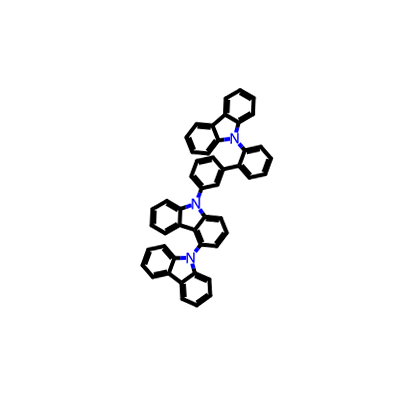 c1cc(-c2ccccc2-n2c3ccccc3c3ccccc32)cc(-n2c3ccccc3c3c(-n4c5ccccc5c5ccccc54)cccc32)c1